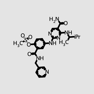 CC(C)C(C)Nc1nc(Nc2ccc(OS(C)(=O)=O)c(C(=O)NCc3cccnc3)c2)ncc1C(N)=O